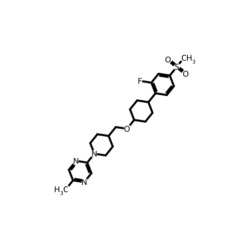 Cc1cnc(N2CCC(COC3CCC(c4ccc(S(C)(=O)=O)cc4F)CC3)CC2)cn1